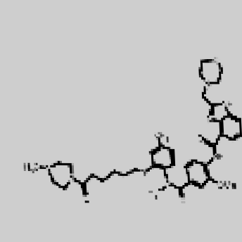 COc1cc(C(=O)N(C)c2ccc(C)cc2OCCCCCC(=O)N2CCN(C)CC2)ccc1NC(=O)c1cccc2[nH]c(CN3CCOCC3)nc12